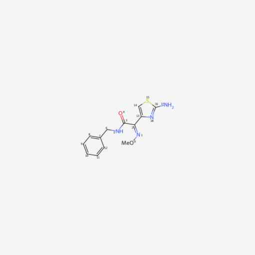 CON=C(C(=O)NCc1ccccc1)c1csc(N)n1